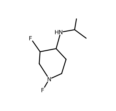 CC(C)NC1CCN(F)CC1F